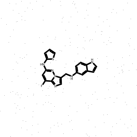 Fc1cc(Nc2cccs2)nn2c(CNc3ccc4[nH]ccc4c3)cnc12